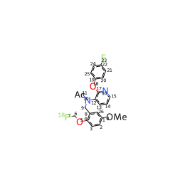 COc1ccc(OC[18F])c(CN(C(C)=O)c2cccnc2Oc2ccc(F)cc2)c1